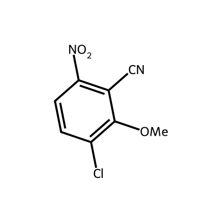 COc1c(Cl)ccc([N+](=O)[O-])c1C#N